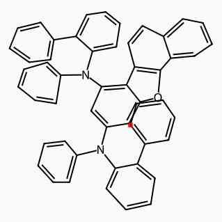 c1ccc(-c2ccccc2N(c2ccccc2)c2cc(N(c3ccccc3)c3ccccc3-c3ccccc3)c3c(c2)oc2c4ccccc4ccc23)cc1